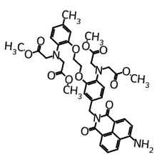 COC(=O)CN(CC(=O)OC)c1ccc(C)cc1OCCOc1cc(CN2C(=O)c3cccc4c(N)ccc(c34)C2=O)ccc1N(CC(=O)OC)CC(=O)OC